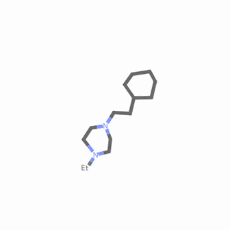 CCN1CCN(CCC2CCCCC2)CC1